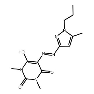 CCCn1nc(N=Nc2c(O)n(C)c(=O)n(C)c2=O)cc1C